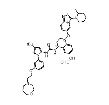 CC1CCCCN1c1nnc2ccc(O[C@@H]3CC[C@H](NC(=O)Nc4cc(C(C)(C)C)nn4-c4cccc(OCCN5CCCOCC5)c4)c4ccccc43)cn12.O=CO